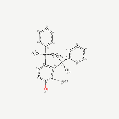 CCCCCCc1c(O)ccc(C(C)(C)c2ccccc2)c1C(C)(C)c1ccccc1